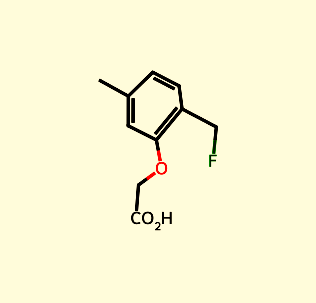 Cc1ccc(CF)c(OCC(=O)O)c1